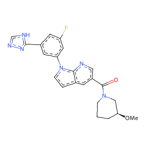 CO[C@H]1CCCN(C(=O)c2cnc3c(ccn3-c3cc(F)cc(-c4nnc[nH]4)c3)c2)C1